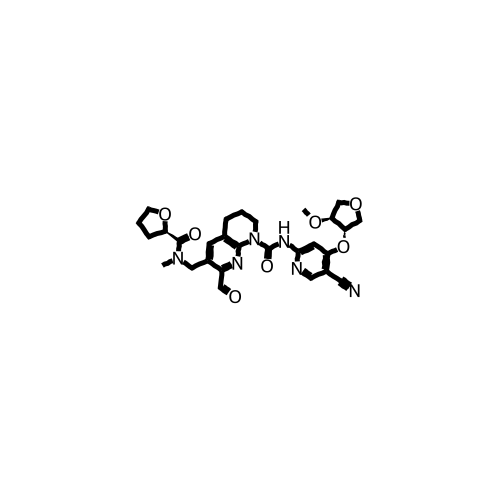 CO[C@H]1COC[C@@H]1Oc1cc(NC(=O)N2CCCc3cc(CN(C)C(=O)[C@H]4CCCO4)c(C=O)nc32)ncc1C#N